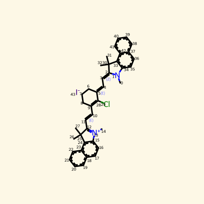 CN1/C(=C\C=C2/CCCC(/C=C/C3=[N+](C)c4ccc5ccccc5c4C3(C)C)=C2Cl)C(C)(C)c2c1ccc1ccccc21.[I-]